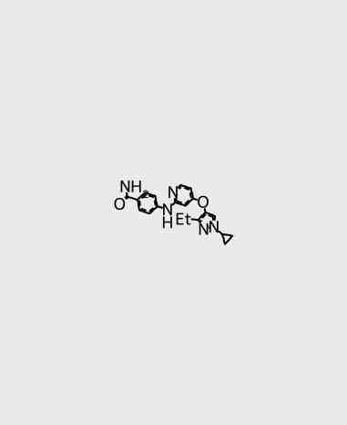 CCc1nn(C2CC2)cc1Oc1ccnc(Nc2ccc(C(N)=O)cc2)c1